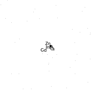 [Gd].[InH3].[O]=[Zn]